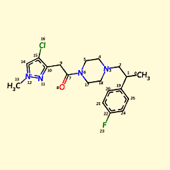 CC(CN1CCN(C(=O)Cc2nn(C)cc2Cl)CC1)c1ccc(F)cc1